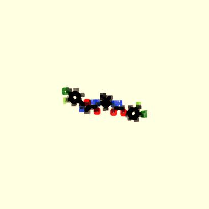 C[C@H]1C2(NC(=O)COc3ccc(Cl)c(F)c3)CC1(NC(=O)c1cnc(-c3ccc(Cl)c(F)c3)o1)C2